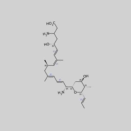 C/C=C/[C@@H]1O[C@H]([C@H](N)/C=C/C=C(\C)C[C@@H](C)/C=C(C)\C=C\[C@H](O)CC(N)CC(=O)O)C[C@@H](O)[C@@H]1C